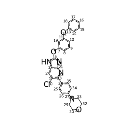 Clc1cc2[nH]c(Oc3cccc(Oc4ccccc4)c3)nc2nc1-c1ccc(N2CCOCC2)cc1